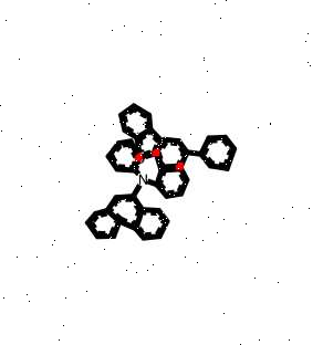 c1ccc(-c2ccc(-c3ccccc3N(c3ccccc3-c3cc4ccccc4o3)c3cc4ccccc4c4ccccc34)cc2)cc1